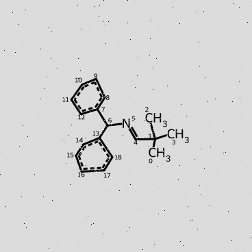 CC(C)(C)C=NC(c1ccccc1)c1ccccc1